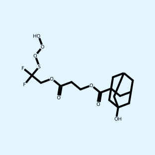 O=C(CCOC(=O)C12CC3CC(CC(O)(C3)C1)C2)OCC(F)(F)SOOO